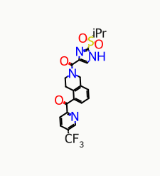 CC(C)S(=O)(=O)c1nc(C(=O)N2CCc3c(cccc3C(=O)c3ccc(C(F)(F)F)cn3)C2)c[nH]1